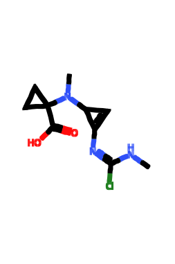 CN/C(Cl)=N\C1=CC1N(C)C1(C(=O)O)CC1